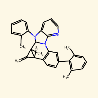 C=C1C2(C)c3ccc(-c4c(C)cccc4C)cc3N3c4ncccc4N(c4ccccc4C)C3C12C